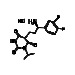 CC(C)N1C(=O)NC(=O)C(CC[C@@H](N)c2ccc(F)c(F)c2)C1=O.Cl